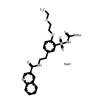 CNC(=S)NS(=O)(=O)c1cc(CCNC(=O)c2cnc3ccccc3c2)ccc1OCCOCC(F)(F)F.[NaH]